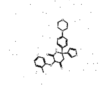 Cc1ccccc1SC1C(=O)CC(c2ccc(N3CCOCC3)cc2)(c2ccsc2)NC1=O